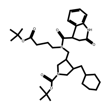 CC(C)(C)OC(=O)CCCN(CC1CN(C(=O)OC(C)(C)C)CC1CC1CCCCC1)C(=O)C1CC(=O)Nc2ccccc21